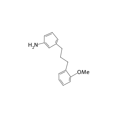 COc1ccccc1CCCc1cccc(N)c1